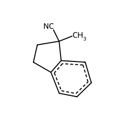 CC1(C#N)CCc2ccccc21